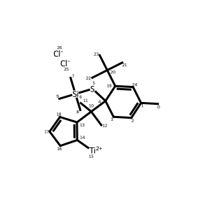 CC1=CCC(S[Si](C)(C)C)(C(C)(C)C2=[C]([Ti+2])CC=C2)C(C(C)(C)C)=C1.[Cl-].[Cl-]